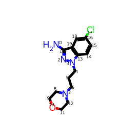 Nc1nn(CCCN2CCOCC2)c2ccc(Cl)cc12